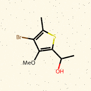 COc1c(C(C)O)sc(C)c1Br